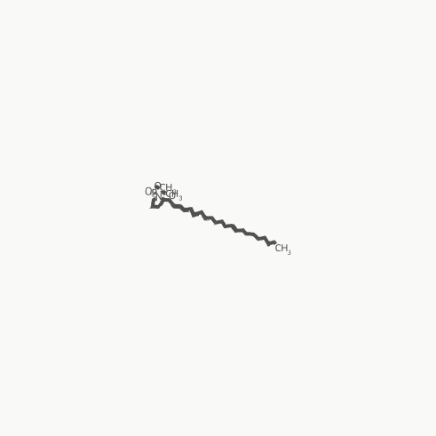 CCCCCCCCC=CCCCCCCCCCCCC(=O)C1CCC[N+]1(C(C)C)P(=O)=O